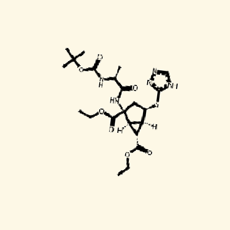 CCOC(=O)[C@H]1[C@H]2[C@@H]1[C@](NC(=O)[C@H](C)NC(=O)OC(C)(C)C)(C(=O)OCC)C[C@H]2Sc1nnc[nH]1